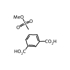 COS(C)(=O)=O.O=C(O)c1cccc(C(=O)O)c1